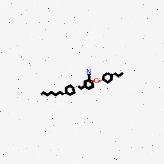 CCCCCCC[C@H]1CC[C@H](CCc2ccc(OC[C@H]3CC[C@H](CCC)CC3)c(C#N)c2)CC1